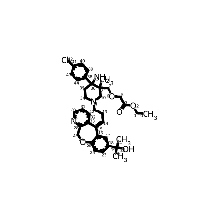 CCOC(=O)COCC1(C)CN(CC/C=C2/c3cc(C(C)(C)O)ccc3OCc3ncccc32)CCC1(N)c1ccc(Cl)cc1